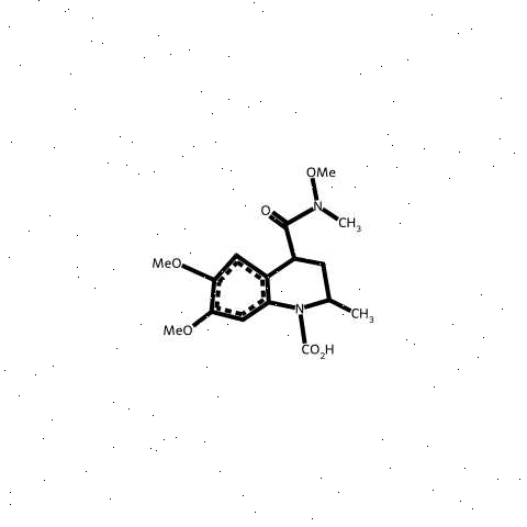 COc1cc2c(cc1OC)N(C(=O)O)C(C)CC2C(=O)N(C)OC